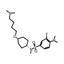 CN(C)CCCCO[C@H]1CC[C@H](N(C)S(=O)(=O)c2ccc(N(C)C)c(F)c2)CC1